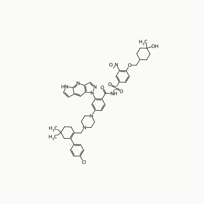 CC1(C)CCC(CN2CCN(c3ccc(C(=O)NS(=O)(=O)c4ccc(OCC5CCC(C)(O)CC5)c([N+](=O)[O-])c4)c(-n4ncc5nc6[nH]ccc6cc54)c3)CC2)=C(c2ccc(Cl)cc2)C1